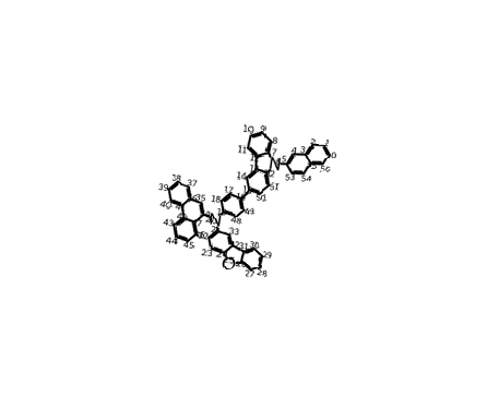 c1ccc2cc(-n3c4ccccc4c4cc(-c5ccc(N(c6ccc7oc8ccccc8c7c6)c6cc7ccccc7c7ccccc67)cc5)ccc43)ccc2c1